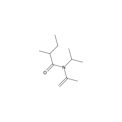 C=C(C)N(C(=O)C(C)CC)C(C)C